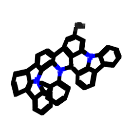 Cc1ccccc1N1B2c3c(cc(C(C)(C)C)cc3-n3c4ccccc4c4cccc2c43)-c2ccc3c4cccc5c6ccccc6n(c3c21)c54